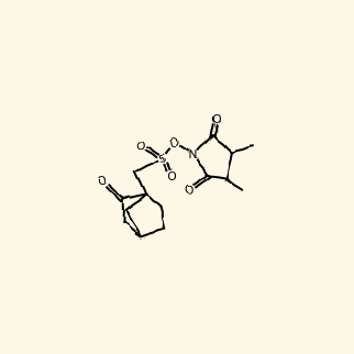 CC1C(=O)N(OS(=O)(=O)CC23CCC(CC2=O)C3)C(=O)C1C